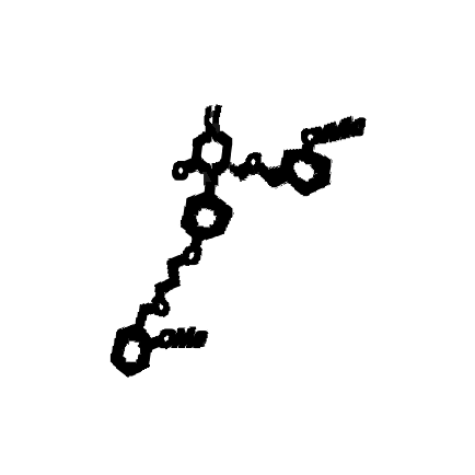 COc1cccc(COC[C@H]2CNCC(=O)N2c2ccc(OCCCOCc3ccccc3OC)cc2)c1